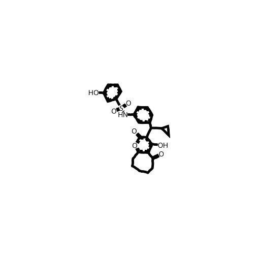 O=C1CCCCCc2oc(=O)c(C(c3cccc(NS(=O)(=O)c4cccc(O)c4)c3)C3CC3)c(O)c21